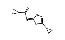 O=C(N=C1[N]N=C(C2CC2)S1)C1CC1